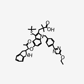 CCOc1cnc(-c2ccc(Cn3c(CC(C)(C)C(=O)O)c(SC(C)(C)C)c4cc(O[C@H](C(C)=O)C5Cc6ccccc6N5)ccc43)cc2)nc1